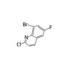 Fc1cc(Br)c2nc(Cl)ccc2c1